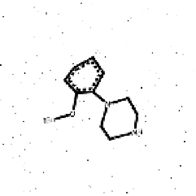 CC(C)(C)Oc1ccccc1N1CCNCC1